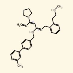 C=N/C(=C\C(=N/Cc1ccccc1CCNC)NCc1ccc(-c2ccnc(C)c2)cc1)N1CCCC1